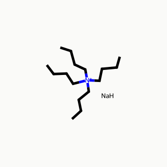 CCCC[N+](CCCC)(CCCC)CCCC.[NaH]